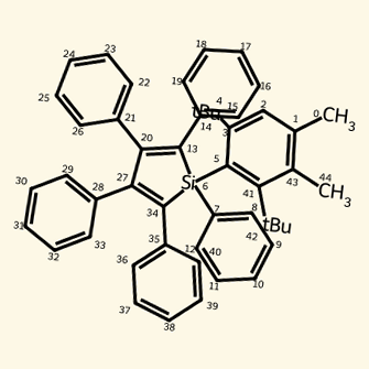 Cc1cc(C(C)(C)C)c([Si]2(c3ccccc3)C(c3ccccc3)=C(c3ccccc3)C(c3ccccc3)=C2c2ccccc2)c(C(C)(C)C)c1C